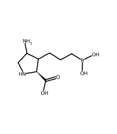 NC1CN[C@H](C(=O)O)C1CCCB(O)O